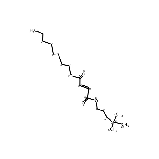 CCCCCCCCOC(=O)C=CC(=O)OCCC[Si](C)(C)C